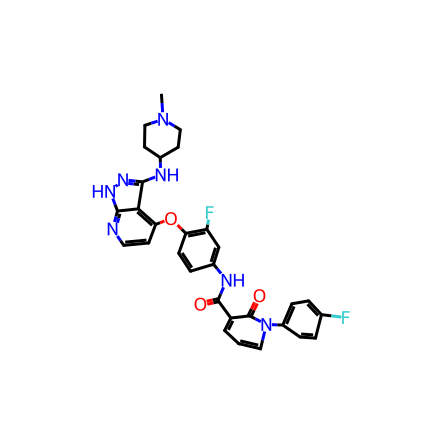 CN1CCC(Nc2n[nH]c3nccc(Oc4ccc(NC(=O)c5cccn(-c6ccc(F)cc6)c5=O)cc4F)c23)CC1